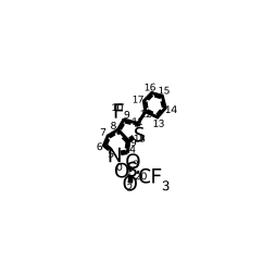 O=S(=O)(Oc1nccc2c(F)c(-c3ccccc3)sc12)C(F)(F)F